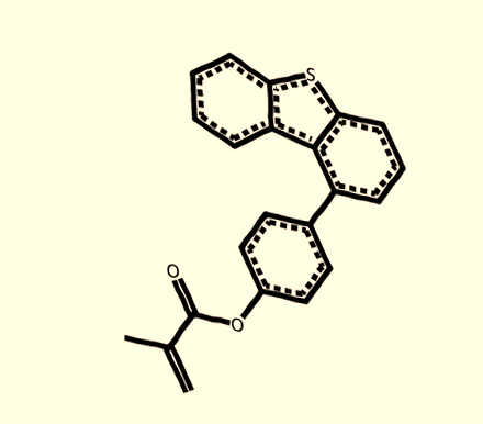 C=C(C)C(=O)Oc1ccc(-c2cccc3sc4ccccc4c23)cc1